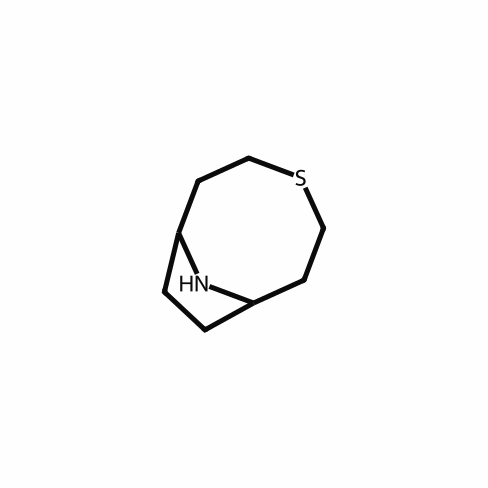 C1CC2CCC(CCS1)N2